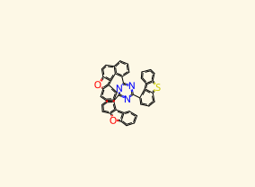 c1cc(-c2nc(-c3cccc4oc5ccccc5c34)nc(-c3cccc4sc5ccccc5c34)n2)c2c(c1)ccc1oc3ccccc3c12